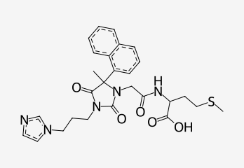 CSCCC(NC(=O)CN1C(=O)N(CCCn2ccnc2)C(=O)C1(C)c1cccc2ccccc12)C(=O)O